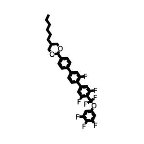 CCCCCCC1COC(c2ccc(-c3ccc(-c4cc(F)c(C(F)(F)Oc5cc(F)c(F)c(F)c5)c(F)c4)c(F)c3)cc2)OC1